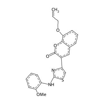 C=CCOc1cccc2cc(-c3csc(Nc4ccccc4OC)n3)c(=O)oc12